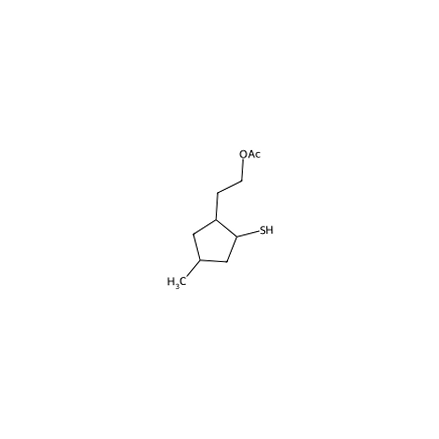 CC(=O)OCCC1CC(C)CC1S